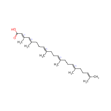 CC(C)=CCC/C(C)=C/CC/C(C)=C/CC/C(C)=C/CC/C(C)=C/C(C)=C/C(=O)O